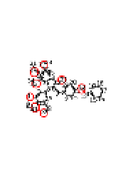 COc1cc(C2/C(=C/c3ccc(OCc4ccccc4)cc3)C(=O)c3cc(OC)c(OC)c(OC)c32)cc(C=O)c1OC